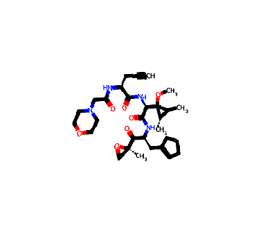 C#CC[C@H](NC(=O)CN1CCOCC1)C(=O)N[C@H](C(=O)N[C@@H](CC1=CCCC1)C(=O)[C@@]1(C)CO1)C1(OC)C(C)[C@@H]1C